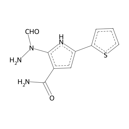 NC(=O)c1cc(-c2cccs2)[nH]c1N(N)C=O